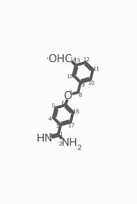 N=C(N)c1ccc(OCc2cccc([C]=O)c2)cc1